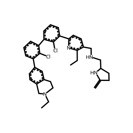 C=C1CCC(CNCc2ccc(-c3cccc(-c4cccc(-c5ccc6c(c5)CCN(CC)C6)c4Cl)c3Cl)nc2CC)N1